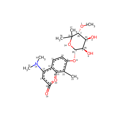 CO[C@@H]1[C@@H](O)[C@@H](O)[C@H](Oc2ccc3c(N(C)C)cc(=O)oc3c2C)OC1(C)C